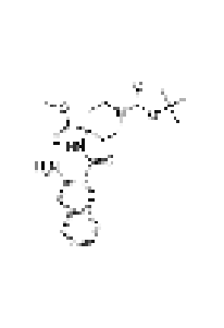 COC(=O)C1(NC(=O)c2cc3ccccc3cc2N)CCN(C(=O)OC(C)(C)C)CC1